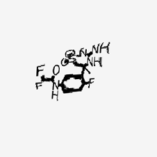 CN1C(=N)N[C@](C)(c2cc(NC(=O)C(F)F)ccc2F)CS1(=O)=O